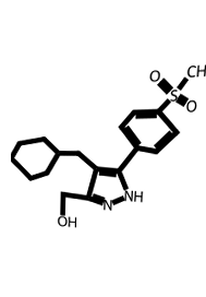 CS(=O)(=O)c1ccc(-c2[nH]nc(CO)c2CC2CCCCC2)cc1